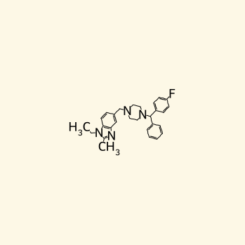 CCn1c(C)nc2cc(CN3CCN(C(c4ccccc4)c4ccc(F)cc4)CC3)ccc21